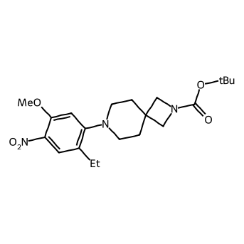 CCc1cc([N+](=O)[O-])c(OC)cc1N1CCC2(CC1)CN(C(=O)OC(C)(C)C)C2